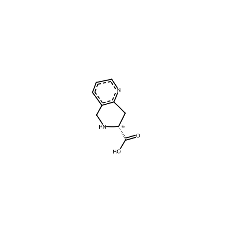 O=C(O)[C@H]1Cc2ncccc2CN1